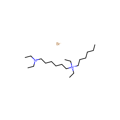 CCCCCC[N+](CC)(CC)CCCCCCN(CC)CC.[Br-]